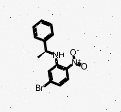 C[C@H](Nc1cc(Br)ccc1[N+](=O)[O-])c1ccccc1